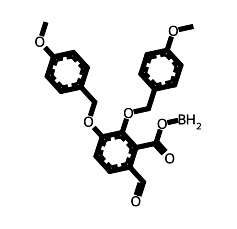 BOC(=O)c1c(C=O)ccc(OCc2ccc(OC)cc2)c1OCc1ccc(OC)cc1